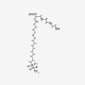 COC(COCCCCCCCCCCCCCCCC(F)(F)C(F)(F)C(F)(F)F)COCCOCCO